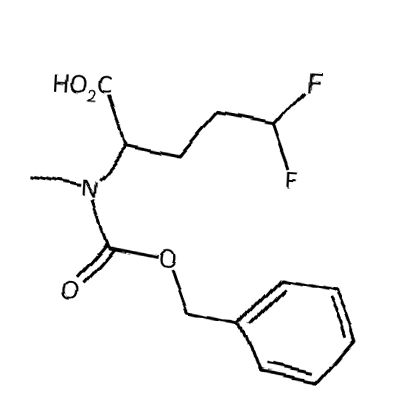 CN(C(=O)OCc1ccccc1)C(CCC(F)F)C(=O)O